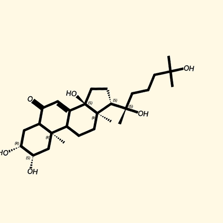 CC(C)(O)CCC[C@](C)(O)[C@H]1CC[C@@]2(O)C3=CC(=O)C4C[C@@H](O)[C@@H](O)C[C@]4(C)C3CC[C@]12C